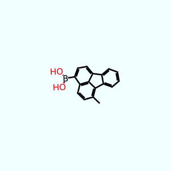 Cc1ccc2c(B(O)O)ccc3c2c1-c1ccccc1-3